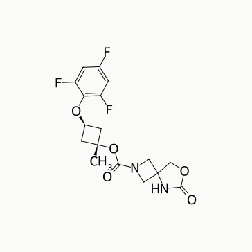 C[C@]1(OC(=O)N2CC3(COC(=O)N3)C2)C[C@H](Oc2c(F)cc(F)cc2F)C1